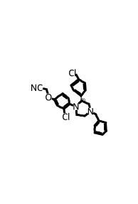 N#CCOc1ccc(N2CCN(Cc3ccccc3)C[C@H]2c2ccc(Cl)cc2)c(Cl)c1